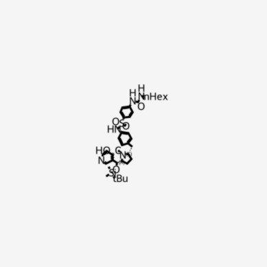 CCCCCCNC(=O)Nc1ccc(S(=O)(=O)Nc2ccc(C[C@@H]3CC[C@H](C(O[Si](C)(C)C(C)(C)C)c4cccnc4)N3C(=O)O)cc2)cc1